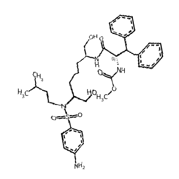 COC(=O)N[C@H](C(=O)NC(CO)CCCC(CO)N(CCC(C)C)S(=O)(=O)c1ccc(N)cc1)C(c1ccccc1)c1ccccc1